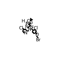 CC1(Oc2ncnc3c2nc(-c2ccc(OCCBr)cc2Cl)n3Cc2cc(Cl)ccn2)CC1